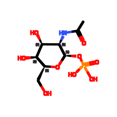 CC(=O)N[C@@H]1[C@H](OP(=O)(O)O)O[C@H](CO)[C@@H](O)[C@@H]1O